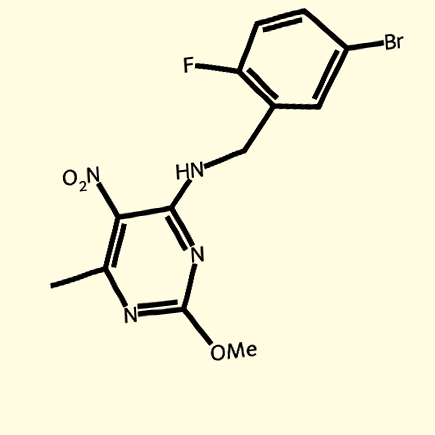 COc1nc(C)c([N+](=O)[O-])c(NCc2cc(Br)ccc2F)n1